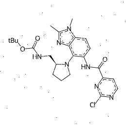 Cc1nc2c(N3CCC[C@H]3CNC(=O)OC(C)(C)C)c(NC(=O)c3ccnc(Cl)n3)ccc2n1C